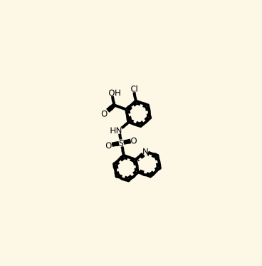 O=C(O)c1c(Cl)cccc1NS(=O)(=O)c1cccc2cccnc12